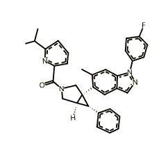 Cc1cc2c(cnn2-c2ccc(F)cc2)cc1[C@@]12CN(C(=O)c3cccc(C(C)C)n3)C[C@@H]1[C@H]2c1ccccc1